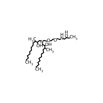 CCCCCCCCCCC(C)C(O)CN(CCOCCOCCNCC(O)CC)CC(O)C(C)CCCCCCCCCC